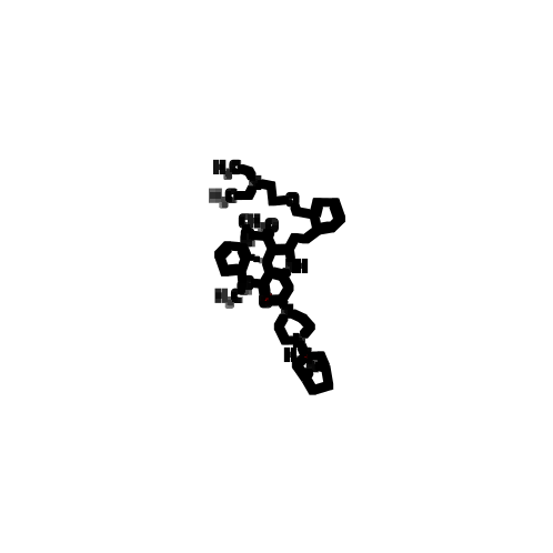 CCN(CC)CCOCc1ccccc1CCC1=C(C(=O)OC)[C@@H](c2c(Cl)cccc2Cl)C(C(=O)OC)=C(CC(=O)N2CCN(C3CC4CCC(C3)N4C)CC2)N1